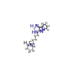 C[N+]1(CCCCCNc2nn3ccccc3c2N)CCCCC1